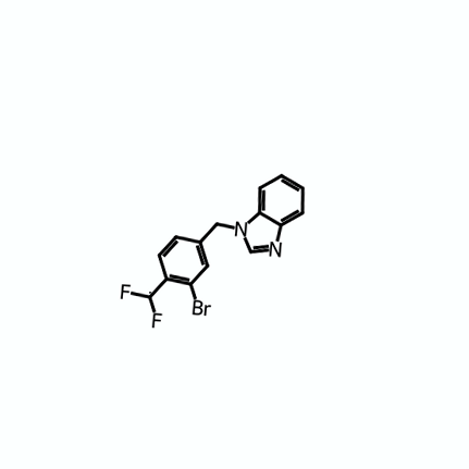 F[C](F)c1ccc(Cn2cnc3ccccc32)cc1Br